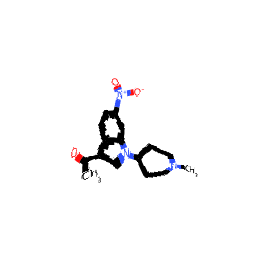 CC(=O)c1cn(C2CCN(C)CC2)c2cc([N+](=O)[O-])ccc12